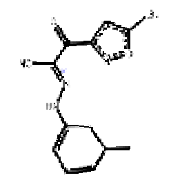 CC1C=CC=C(N/N=C(\C#N)C(=O)c2cc(C(C)(C)C)on2)C1